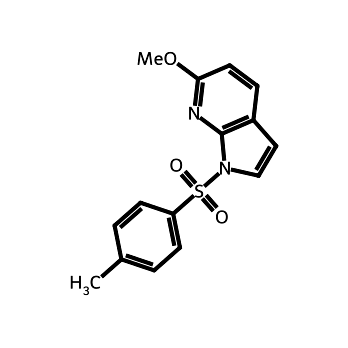 COc1ccc2ccn(S(=O)(=O)c3ccc(C)cc3)c2n1